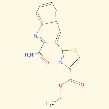 CCOC(=O)c1csc(-c2cc3ccccc3nc2C(N)=O)n1